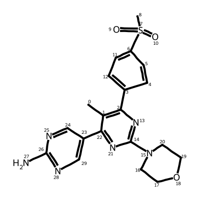 Cc1c(-c2ccc(S(C)(=O)=O)cc2)nc(N2CCOCC2)nc1-c1cnc(N)nc1